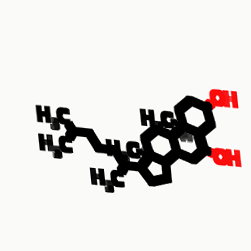 CC(C)CCCC(C)C1CCC2C3CC(O)=C4CC(O)CC[C@]4(C)C3CC[C@]12C